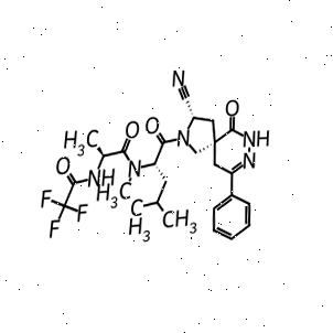 CC(C)C[C@@H](C(=O)N1C[C@]2(CC(c3ccccc3)=NNC2=O)C[C@H]1C#N)N(C)C(=O)[C@H](C)NC(=O)C(F)(F)F